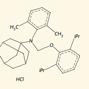 Cc1cccc(C)c1N(COc1c(C(C)C)cccc1C(C)C)C12CC3CC(CC(C3)C1)C2.Cl